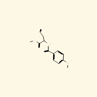 C=CCC(NC(=O)c1ccc([N+](=O)[O-])cc1)C(=O)OC